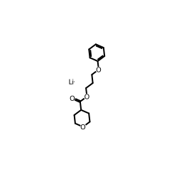 O=C(OCCCOc1ccccc1)C1CCOCC1.[Li]